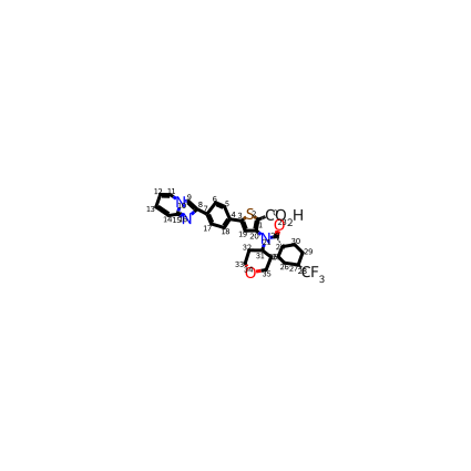 O=C(O)c1sc(-c2ccc(-c3cn4ccccc4n3)cc2)cc1N(C(=O)[C@H]1CC[C@H](C(F)(F)F)CC1)C1CCOCC1